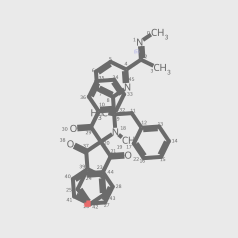 C/N=C(\C)c1cccc(C(C)(Cc2ccccc2)N(C)C(C(=O)c2ccccc2)(C(=O)c2ccccc2)C(=O)c2ccccc2)n1